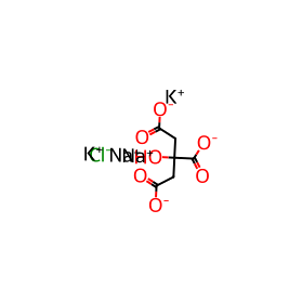 O=C([O-])CC(O)(CC(=O)[O-])C(=O)[O-].[Cl-].[K+].[K+].[Na+].[Na+]